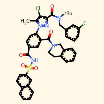 CCCCN(Cc1cccc(Cl)c1)C(=O)c1nn(-c2ccc(C(=O)NS(=O)(=O)c3ccc4ccccc4c3)cc2C(=O)N2CCc3ccccc3C2)c(C)c1Cl